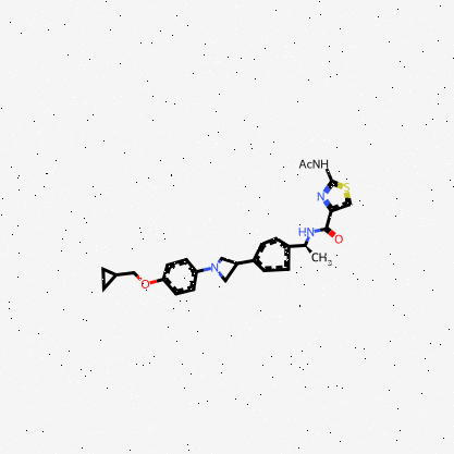 CC(=O)Nc1nc(C(=O)N[C@@H](C)c2ccc(C3CN(c4ccc(OCC5CC5)cc4)C3)cc2)cs1